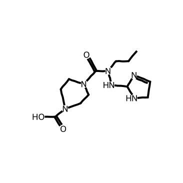 CCCN(NC1N=CCN1)C(=O)N1CCN(C(=O)O)CC1